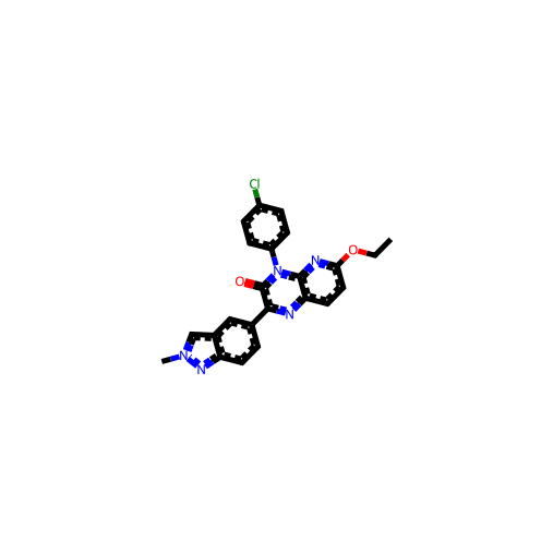 CCOc1ccc2nc(-c3ccc4nn(C)cc4c3)c(=O)n(-c3ccc(Cl)cc3)c2n1